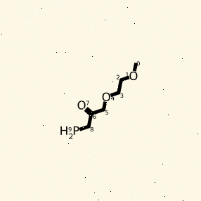 COCCOCC(=O)CP